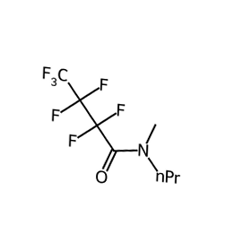 CCCN(C)C(=O)C(F)(F)C(F)(F)C(F)(F)F